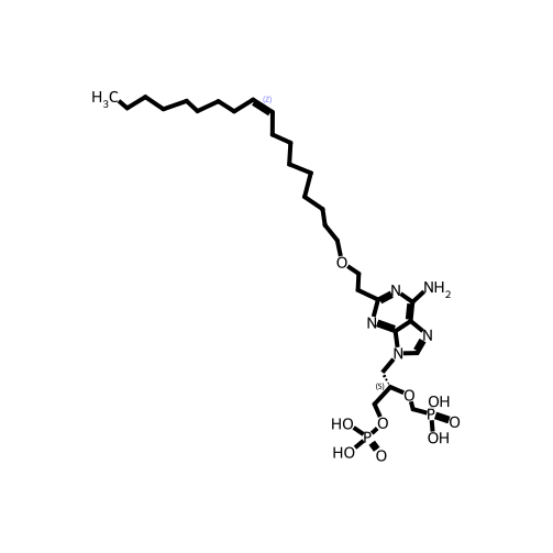 CCCCCCCC/C=C\CCCCCCCCOCCc1nc(N)c2ncn(C[C@@H](COP(=O)(O)O)OCP(=O)(O)O)c2n1